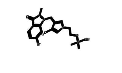 Cn1c(=O)c2ccc(Br)cc2n1Cc1cn(CCO[Si](C)(C)C(C)(C)C)cc1C(F)(F)F